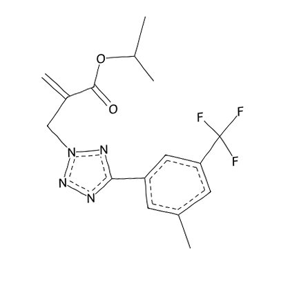 C=C(Cn1nnc(-c2cc(C)cc(C(F)(F)F)c2)n1)C(=O)OC(C)C